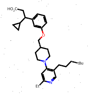 CCc1cc(N2CCC(COc3cccc(C(CC(=O)O)C4CC4)c3)CC2)c(CCCC(C)(C)C)cn1